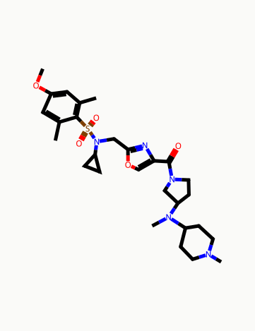 COc1cc(C)c(S(=O)(=O)N(Cc2nc(C(=O)N3CCC(N(C)C4CCN(C)CC4)C3)co2)C2CC2)c(C)c1